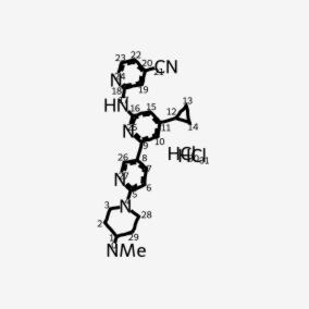 CNC1CCN(c2ccc(-c3cc(C4CC4)cc(Nc4cc(C#N)ccn4)n3)cn2)CC1.Cl.Cl